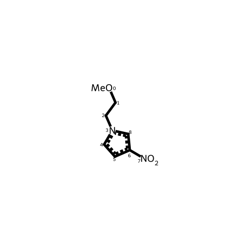 COCCn1ccc([N+](=O)[O-])c1